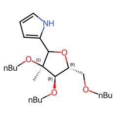 CCCCOC[C@H]1OC(c2ccc[nH]2)[C@](C)(OCCCC)[C@@H]1OCCCC